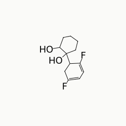 OC1CCCCC1(O)C1CC(F)=CC=C1F